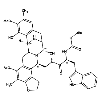 COc1c(C)cc2c(c1O)[C@H]1NC(C2)[C@H](O)N2C1Cc1c(OC(C)=O)c(C)c3c(c1[C@@H]2CNC(=O)[C@H](Cc1c[nH]c2ccccc12)NC(=O)OC(C)(C)C)OCO3